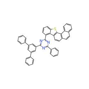 c1ccc(-c2cc(-c3ccccc3)cc(-c3nc(-c4ccccc4)nc(-c4cccc5sc6c(ccc7ccc8ccccc8c76)c45)n3)c2)cc1